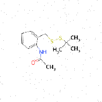 CC(=O)Nc1ccccc1CSSC(C)(C)C